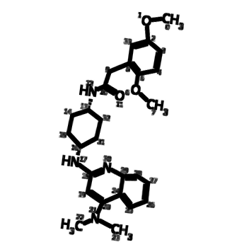 COc1ccc(OC)c(CC(=O)N[C@H]2CC[C@@H](Nc3cc(N(C)C)c4ccccc4n3)CC2)c1